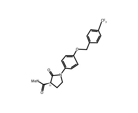 CNC(=O)[C@@H]1CCN(c2ccc(OCc3ccc(C(F)(F)F)cc3)cc2)C1=O